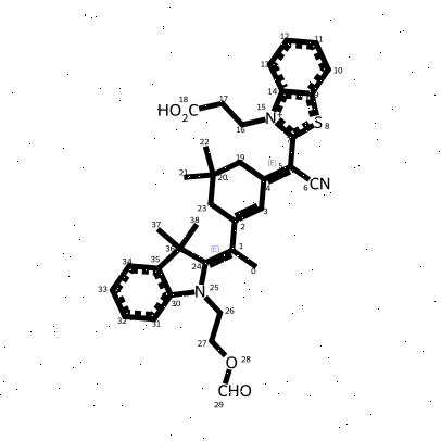 C/C(C1=C/C(=C(\C#N)c2sc3ccccc3[n+]2CCC(=O)O)CC(C)(C)C1)=C1\N(CCOC=O)c2ccccc2C1(C)C